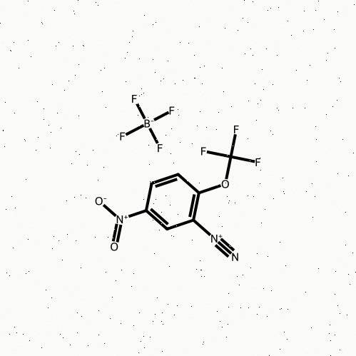 F[B-](F)(F)F.N#[N+]c1cc([N+](=O)[O-])ccc1OC(F)(F)F